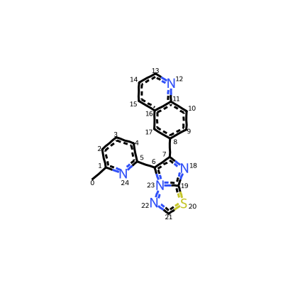 Cc1cccc(-c2c(-c3ccc4ncccc4c3)nc3scnn23)n1